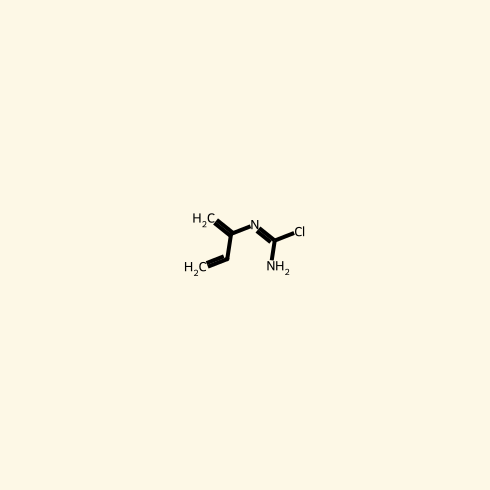 C=CC(=C)/N=C(\N)Cl